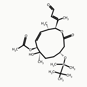 CC(=O)O[C@H]1C=C[C@H](C)[C@@H](C(C)=CC=O)OC(=O)C[C@H](O[Si](C)(C)C(C)(C)C)CC[C@@]1(C)O